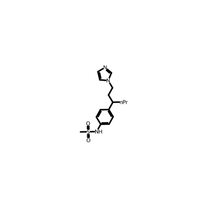 CCCC(CCn1ccnc1)c1ccc(NS(C)(=O)=O)cc1